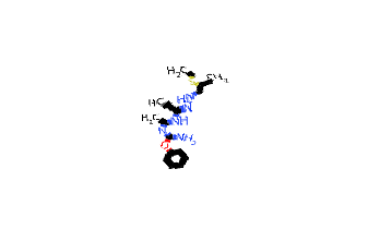 C#C/C(=N\NC/C(=C/C)SC=C)NC(=C)/N=C(\N)Oc1ccccc1